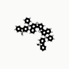 Cn1c2ccccc2c2cc(N(c3ccccc3)c3cc4oc5c(ccc6oc7cc(N(c8ccccc8)c8ccc9c(c8)c8ccccc8n9C)c8ccccc8c7c65)c4c4ccccc34)ccc21